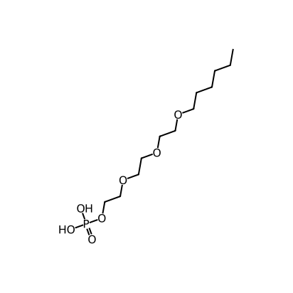 CCCCCCOCCOCCOCCOP(=O)(O)O